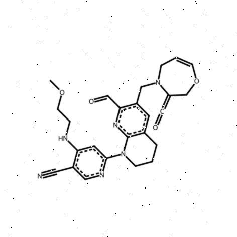 COCCNc1cc(N2CCCc3cc(CN4CC=COCC4=C=O)c(C=O)nc32)ncc1C#N